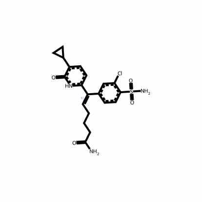 NC(=O)CCC/C=C(\c1ccc(S(N)(=O)=O)c(Cl)c1)c1ccc(C2CC2)c(=O)[nH]1